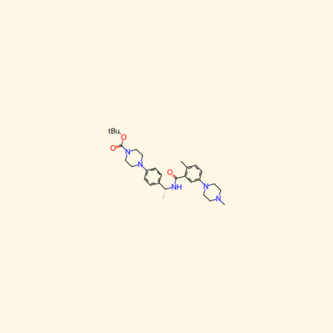 Cc1ccc(N2CCN(C)CC2)cc1C(=O)N[C@H](C)c1ccc(N2CCN(C(=O)OC(C)(C)C)CC2)cc1